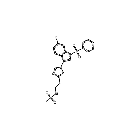 CS(=O)(=O)NCCn1cc(-c2cn(S(=O)(=O)c3ccccc3)c3cc(F)ccc23)cn1